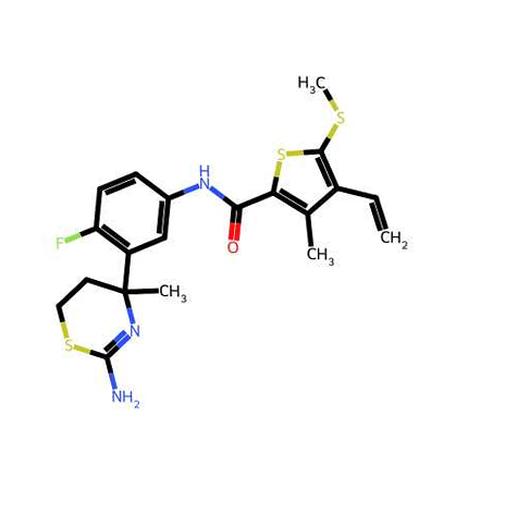 C=Cc1c(SC)sc(C(=O)Nc2ccc(F)c(C3(C)CCSC(N)=N3)c2)c1C